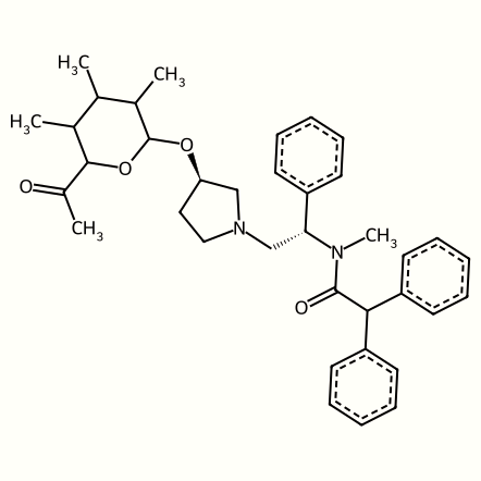 CC(=O)C1OC(O[C@@H]2CCN(C[C@H](c3ccccc3)N(C)C(=O)C(c3ccccc3)c3ccccc3)C2)C(C)C(C)C1C